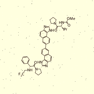 COC(=O)N[C@H](C(=O)N1CCC[C@H]1c1nc2ccc3cc(-c4ccc5c(ccc6nc([C@@H]7CCCN7C(=O)[C@H](NCC(F)(F)F)c7ccccc7)[nH]c65)c4)ccc3c2[nH]1)C(C)C